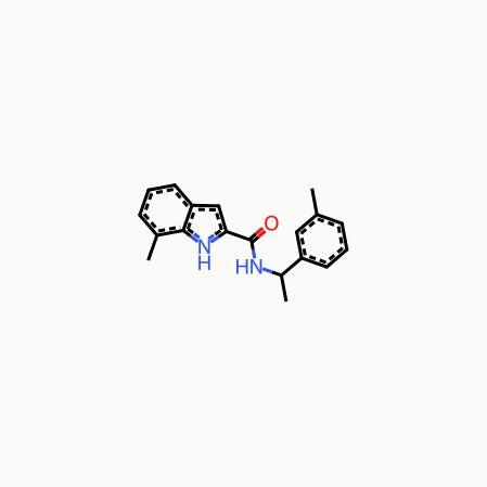 Cc1cccc(C(C)NC(=O)c2cc3cccc(C)c3[nH]2)c1